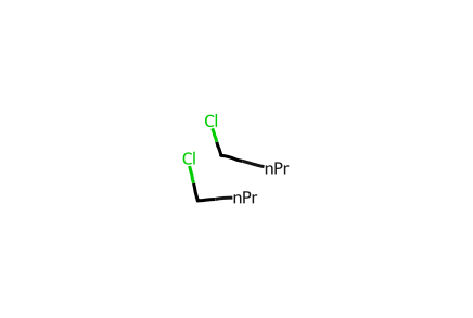 CCCCCl.CCCCCl